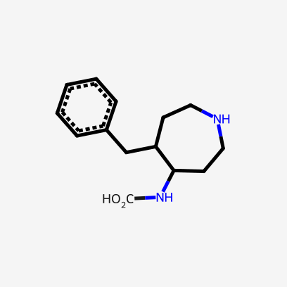 O=C(O)NC1CCNCCC1Cc1ccccc1